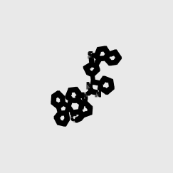 c1ccc2c(c1)-c1ccccc1C21c2cccc3ccc4c(c23)c2c1cccc2n4-c1nc(-c2ccc3sc4ccc5ccccc5c4c3c2)c2ccccc2n1